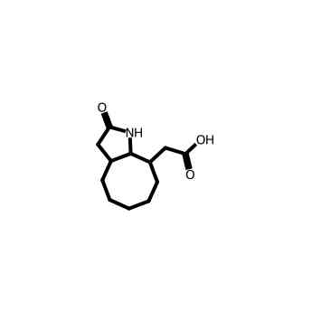 O=C(O)CC1CCCCCC2CC(=O)NC12